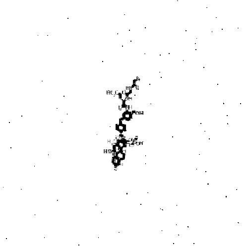 C[C@]12C=CC(=O)C=C1CC[C@@H]1[C@@H]2[C@@H](O)C[C@@]2(C)[C@H]1C[C@H]1O[C@@H](c3ccc(Cc4ccc(CO)c(NC(=O)[C@H](CCC(=O)O)NC(=O)CNC(=O)CBr)c4)cc3)O[C@]12C(=O)COP(=O)(O)O